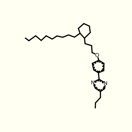 CCCCCCCCCCC1CCCCC1CCCOc1ccc(-c2ncc(CCC)cn2)cc1